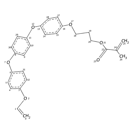 C=COc1ccc(Oc2ccc(Oc3ccc(OCCCOC(=O)C(=C)C)cc3)cc2)cc1